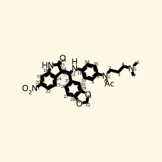 CC(=O)N(CCCN(C)C)c1ccc(N/C(=C2\C(=O)Nc3cc([N+](=O)[O-])ccc32)c2ccc3c(c2)OCO3)cc1